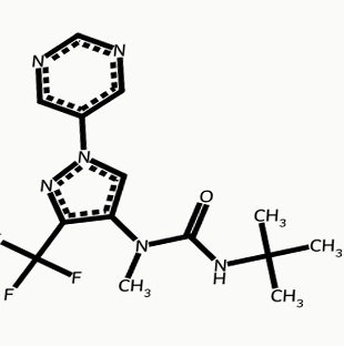 CN(C(=O)NC(C)(C)C)c1cn(-c2cncnc2)nc1C(F)(F)F